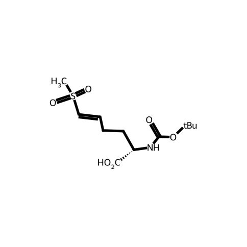 CC(C)(C)OC(=O)N[C@@H](CCC=CS(C)(=O)=O)C(=O)O